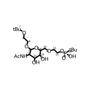 CC(=O)NC1C(OCCOC(C)(C)C)OC(COCCOP(=O)(O)C(C)(C)C)C(O)C1O